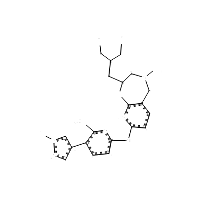 COc1nc(Nc2ccc3c(n2)OC(CC(CF)CF)CN(C)C3)ccc1-c1cnn(C)c1